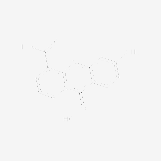 Cc1ccc2c(=O)n3cccc(C(=O)O)c3nc2c1.Cl